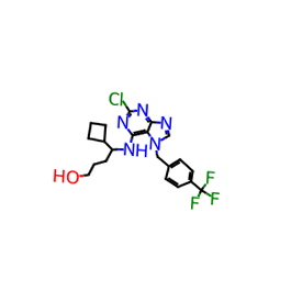 OCCCC(Nc1nc(Cl)nc2ncn(Cc3ccc(C(F)(F)F)cc3)c12)C1CCC1